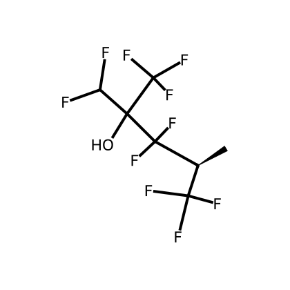 C[C@@H](C(F)(F)F)C(F)(F)C(O)(C(F)F)C(F)(F)F